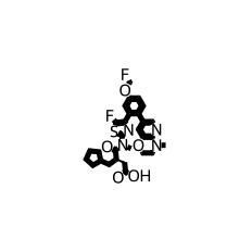 CN1CCOc2cc(-c3ccc(OCF)cc3-c3nc(N(C)C(=O)[C@@H](CC(=O)O)CC4CCCC4)sc3F)cnc21